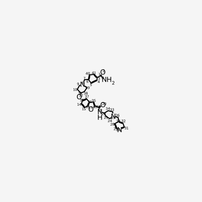 NC(=O)c1ccc(CN2CCC(Oc3ccc4oc(C(=O)NC5CCN(Cc6ccncc6)CC5)cc4c3)CC2)cc1